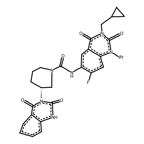 CC(C)n1c(=O)n(CC2CC2)c(=O)c2cc(NC(=O)N3CCC[C@@H](n4c(=O)[nH]c5ccccc5c4=O)C3)c(F)cc21